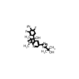 CC(C)c1c(F)cc([C@](O)(c2cncc(-c3noc(C(C)(C)O)n3)c2)C2(C)CN(C)C2)cc1F